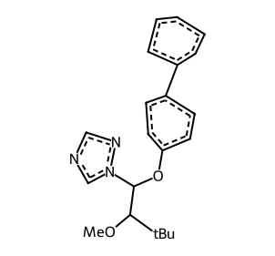 COC(C(Oc1ccc(-c2ccccc2)cc1)n1cncn1)C(C)(C)C